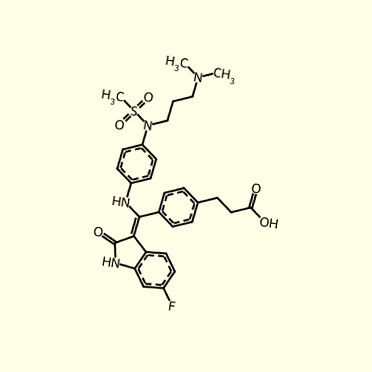 CN(C)CCCN(c1ccc(N/C(=C2\C(=O)Nc3cc(F)ccc32)c2ccc(CCC(=O)O)cc2)cc1)S(C)(=O)=O